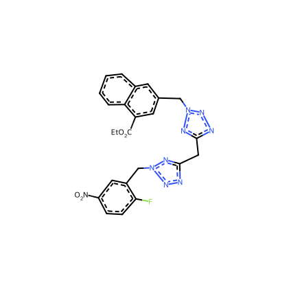 CCOC(=O)c1cc(Cn2nnc(Cc3nnn(Cc4cc([N+](=O)[O-])ccc4F)n3)n2)cc2ccccc12